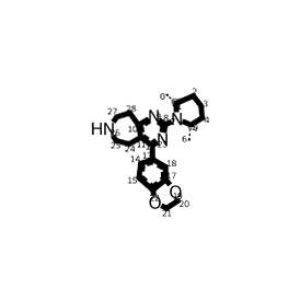 C[C@@H]1CCC[C@H](C)N1c1nc2c(c(-c3ccc4c(c3)OCCO4)n1)CCNCC2